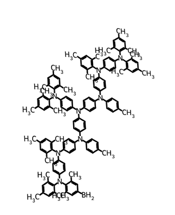 Bc1cc(C)c(N(c2ccc(N(c3ccc(N(c4ccc(C)cc4)c4ccc(N(c5ccc(N(c6ccc(C)cc6)c6ccc(N(c7ccc(N(c8c(C)cc(C)cc8C)c8c(C)cc(C)cc8C)cc7)c7c(C)cc(C)cc7C)cc6)cc5)c5ccc(N(c6c(C)cc(C)cc6C)c6c(C)cc(C)cc6C)cc5)cc4)cc3)c3c(C)cc(C)cc3C)cc2)c2c(C)cc(C)cc2C)c(C)c1